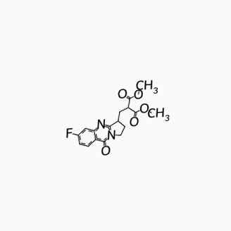 COC(=O)C(CC1CCn2c1nc1cc(F)ccc1c2=O)C(=O)OC